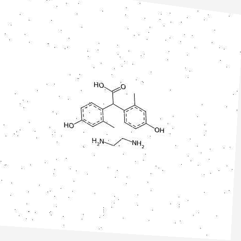 Cc1cc(O)ccc1C(C(=O)O)c1ccc(O)cc1C.NCCN